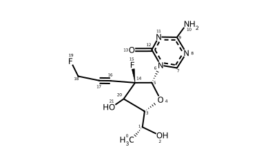 C[C@@H](O)[C@H]1O[C@@H](n2cnc(N)nc2=O)[C@@](F)(C#CCF)C1O